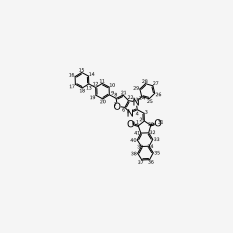 O=C1C(=Cc2nc3oc(-c4ccc(-c5ccccc5)cc4)cc3n2-c2ccccc2)C(=O)c2cc3ccccc3cc21